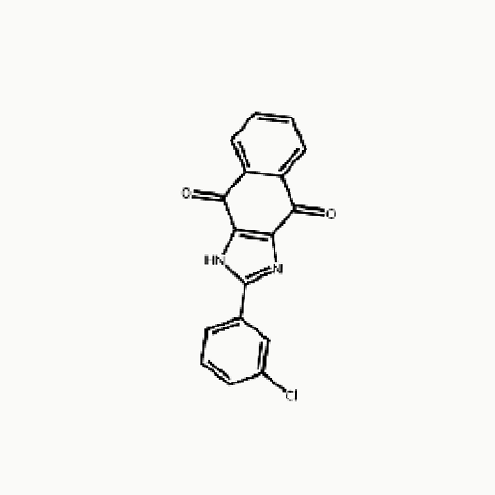 O=C1c2ccccc2C(=O)c2[nH]c(-c3cccc(Cl)c3)nc21